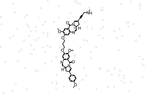 CNCC#CC1=CN2C(=O)c3cc(OC)c(OCCCOc4cc5c(cc4OC)C(=O)N4C=C(c6ccc(OC)cc6)C[C@H]4C=N5)cc3N=C[C@@H]2C1